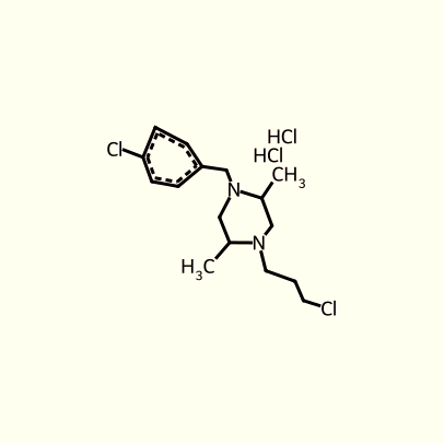 CC1CN(Cc2ccc(Cl)cc2)C(C)CN1CCCCl.Cl.Cl